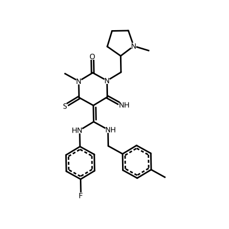 Cc1ccc(CN/C(Nc2ccc(F)cc2)=C2\C(=N)N(CC3CCCN3C)C(=O)N(C)C2=S)cc1